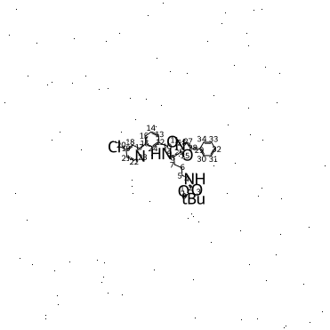 CC(C)(C)OC(=O)NCCCC(NC(=O)c1cccc(-c2cc(Cl)ccn2)c1)c1ncc(-c2ccccc2)o1